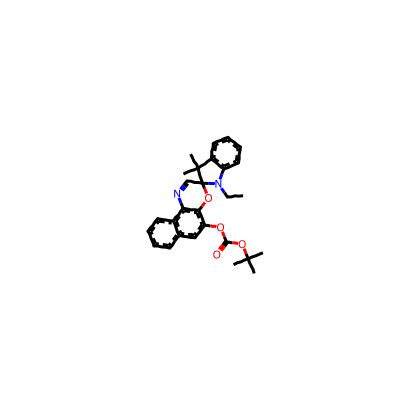 CCN1c2ccccc2C(C)(C)C12C=Nc1c(c(OC(=O)OC(C)(C)C)cc3ccccc13)O2